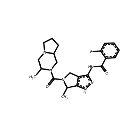 CC1CN2CCCC2CN1C(=O)N1Cc2c(NC(=O)c3ccccc3F)n[nH]c2C1C